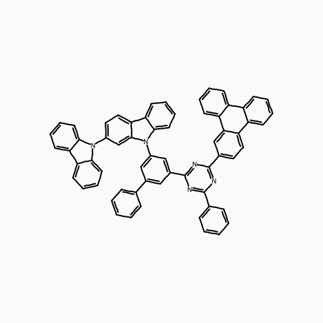 c1ccc(-c2cc(-c3nc(-c4ccccc4)nc(-c4ccc5c6ccccc6c6ccccc6c5c4)n3)cc(-n3c4ccccc4c4ccc(-n5c6ccccc6c6ccccc65)cc43)c2)cc1